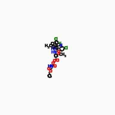 COc1cc(C(=O)OCOC(=O)NCC(=O)OCc2ccccc2)ccc1NC(=O)[C@@H]1NC(CC(C)(C)C)[C@](C#N)(c2ccc(Cl)cc2F)C1C1C#CC(Cl)=CC=C1